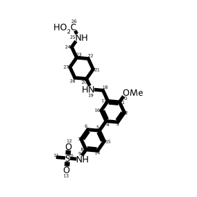 COc1ccc(-c2ccc(NS(C)(=O)=O)cc2)cc1CNC1CCC(CNC(=O)O)CC1